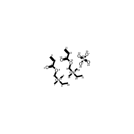 C=CC(=O)OC[N+](C)(C)CC.C=CC(=O)OC[N+](C)(C)CC.O=S(=O)([O-])[O-]